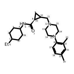 CCC1CCC(NC(=O)[C@H]2CC2CN2CCN(c3ccc(C)cc3C)CC2)CC1